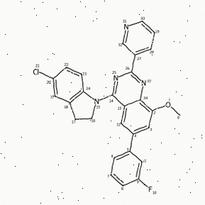 COc1cc(-c2cccc(F)c2)cc2c(N3CCc4cc(Cl)ccc43)nc(-c3cccnc3)nc12